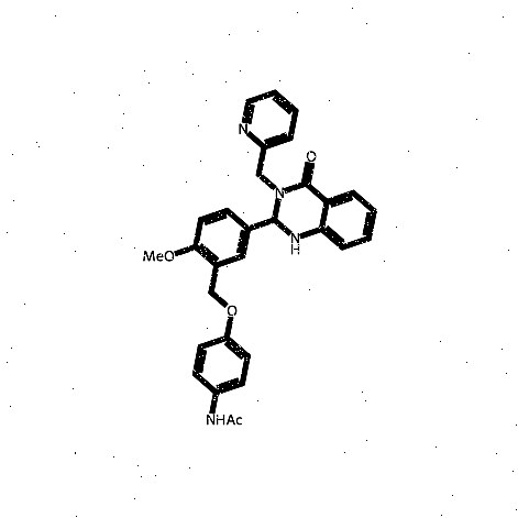 COc1ccc(C2Nc3ccccc3C(=O)N2Cc2ccccn2)cc1COc1ccc(NC(C)=O)cc1